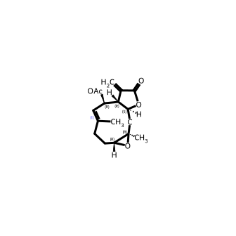 C=C1C(=O)O[C@H]2C[C@@]3(C)O[C@@H]3CC/C(C)=C/[C@@H](OC(C)=O)[C@H]12